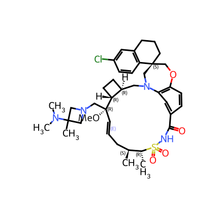 CO[C@@]1(CN2CC(C)(N(C)C)C2)/C=C/C[C@H](C)[C@@H](C)S(=O)(=O)NC(=O)c2ccc3c(c2)N(C[C@@H]2CC[C@H]21)C[C@@]1(CCCc2cc(Cl)ccc21)CO3